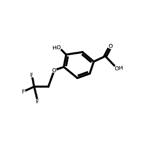 O=C(O)c1ccc(OCC(F)(F)F)c(O)c1